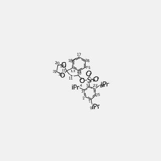 CC(C)c1cc(C(C)C)c(S(=O)(=O)OCCC2(c3ccccc3)OCCO2)c(C(C)C)c1